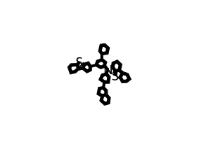 c1ccc(-c2cc(-c3ccc4c(c3)sc3ccccc34)cc(N(c3ccc(-c4ccc5ccccc5c4)cc3)c3cccc4c3sc3ccccc34)c2)cc1